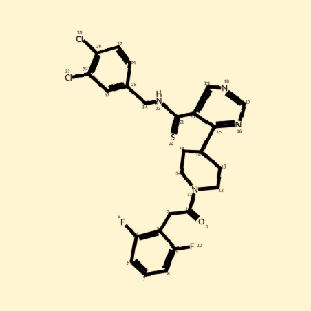 O=C(Cc1c(F)cccc1F)N1CCC(c2ncncc2C(=S)NCc2ccc(Cl)c(Cl)c2)CC1